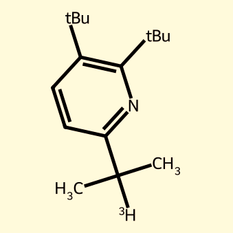 [3H]C(C)(C)c1ccc(C(C)(C)C)c(C(C)(C)C)n1